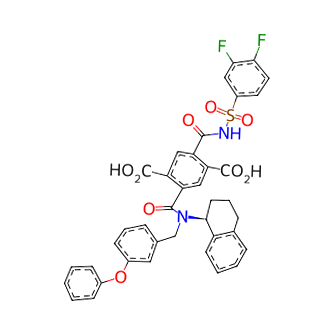 O=C(O)c1cc(C(=O)N(Cc2cccc(Oc3ccccc3)c2)[C@H]2CCCc3ccccc32)c(C(=O)O)cc1C(=O)NS(=O)(=O)c1ccc(F)c(F)c1